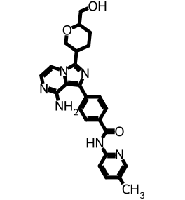 Cc1ccc(NC(=O)c2ccc(-c3nc(C4CCC(CO)OC4)n4ccnc(N)c34)cc2)nc1